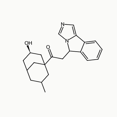 CC1CC2C[C@@H](O)CC(C(=O)CC3c4ccccc4-c4cncn43)(C1)C2